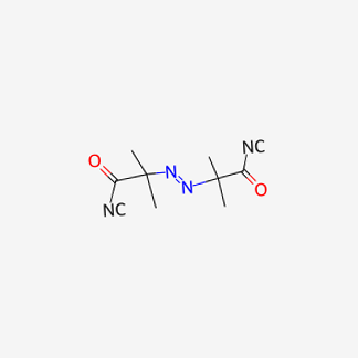 [C-]#[N+]C(=O)C(C)(C)N=NC(C)(C)C(=O)[N+]#[C-]